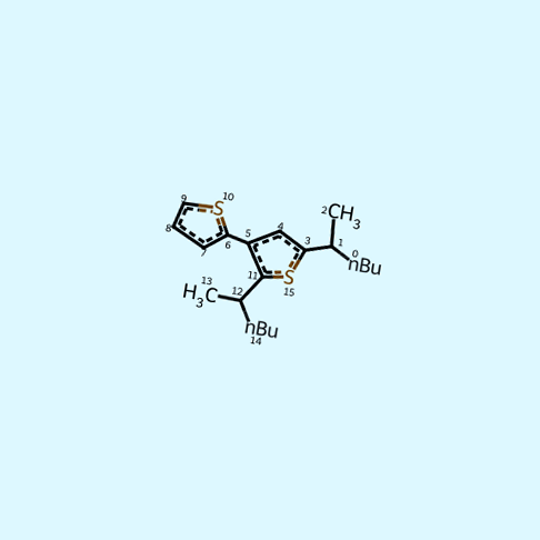 CCCCC(C)c1cc(-c2cccs2)c(C(C)CCCC)s1